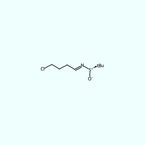 CC(C)(C)[S@@+]([O-])N=CCCCCl